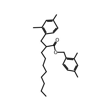 CCCCCCCCC(Cc1ccc(C)cc1C)C(=O)OCc1ccc(C)cc1C